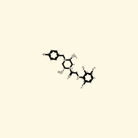 C[C@@H]1CN(Cc2ccc(F)cc2)[C@@H](C)CN1C(=O)COc1c(F)ccc(F)c1F